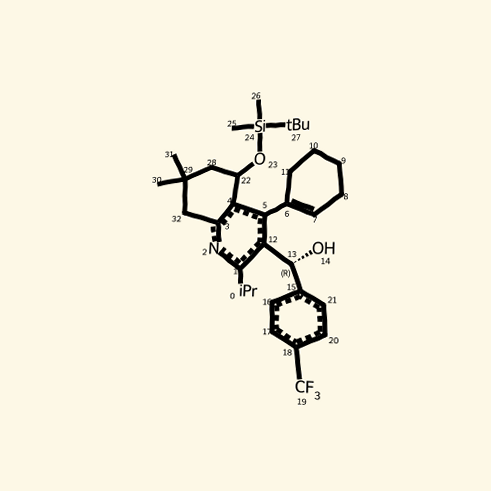 CC(C)c1nc2c(c(C3=CCCCC3)c1[C@H](O)c1ccc(C(F)(F)F)cc1)C(O[Si](C)(C)C(C)(C)C)CC(C)(C)C2